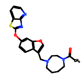 CC(=O)N1CCCCN(Cc2coc3cc(Oc4nc5ncccc5s4)ccc23)CC1